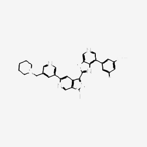 Oc1cc(F)cc(-c2cncc3[nH]c(-c4n[nH]c5cnc(-c6cncc(CN7CCCCC7)c6)cc45)nc23)c1